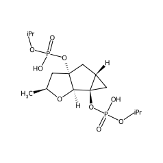 CC(C)OP(=O)(O)O[C@]12C[C@@H]3C[C@]3(OP(=O)(O)OC(C)C)[C@H]1O[C@@H](C)C2